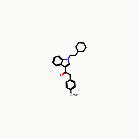 COc1ccc(CC(=O)c2cn(CCC3CCCCC3)c3ccccc23)cc1